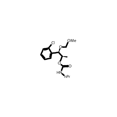 CCCNC(=O)O[C@H](C)[C@H](OCOC)c1ccccc1Cl